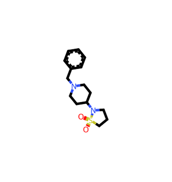 O=S1(=O)CCCN1C1CCN(Cc2ccccc2)CC1